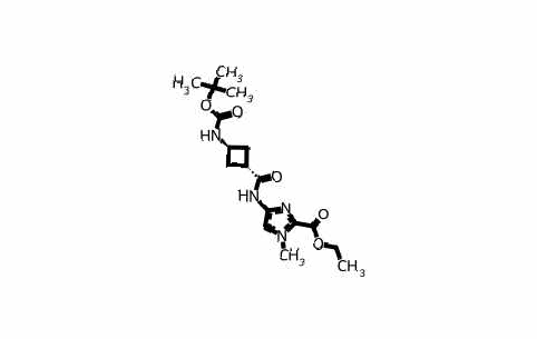 CCOC(=O)c1nc(NC(=O)[C@H]2C[C@H](NC(=O)OC(C)(C)C)C2)cn1C